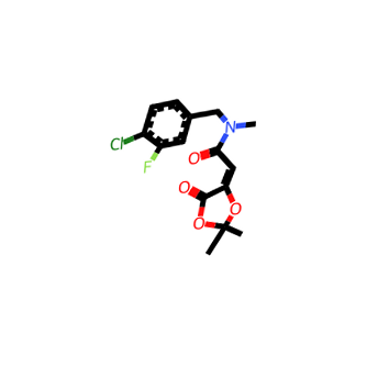 CN(Cc1ccc(Cl)c(F)c1)C(=O)C=C1OC(C)(C)OC1=O